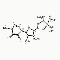 CC(=O)OC1C(COC(C(=O)O)P(=O)(NC(C)C)NC(C)C)OC(N2N=NC(C#N)C(=O)C2=O)C1OC(C)=O